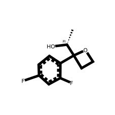 C[C@@H](O)C1(c2ccc(F)cc2F)CCO1